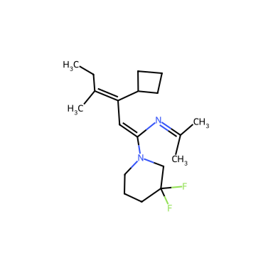 CC/C(C)=C(/C=C(\N=C(C)C)N1CCCC(F)(F)C1)C1CCC1